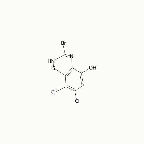 Oc1cc(Cl)c(Cl)c2c1N=C(Br)NS2